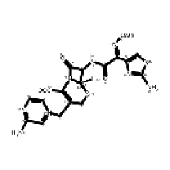 CON=C(C(=O)NC1C(=O)N2C(C(=O)[O-])=C(C[n+]3ccnc(N)c3)CS[C@@H]12)c1csc(N)n1